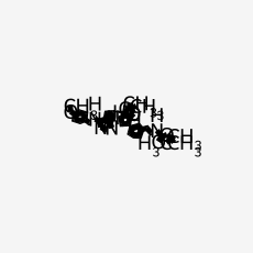 COc1ccc(CNc2ncnc3c2ccn3[C@@H]2C[C@H](c3cccc(CCNC(=O)OC(C)(C)C)c3)[C@H]3OC(C)(C)O[C@H]32)cc1